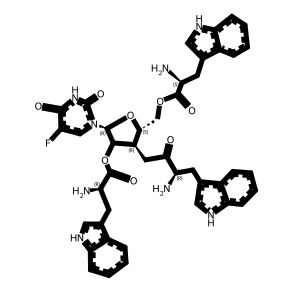 N[C@H](Cc1c[nH]c2ccccc12)C(=O)C[C@H]1C(OC(=O)[C@H](N)Cc2c[nH]c3ccccc23)[C@H](n2cc(F)c(=O)[nH]c2=O)O[C@@H]1COC(=O)[C@@H](N)Cc1c[nH]c2ccccc12